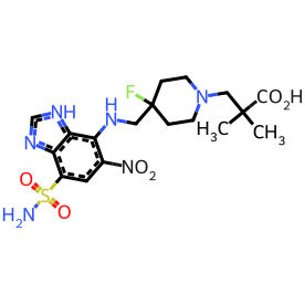 CC(C)(CN1CCC(F)(CNc2c([N+](=O)[O-])cc(S(N)(=O)=O)c3nc[nH]c23)CC1)C(=O)O